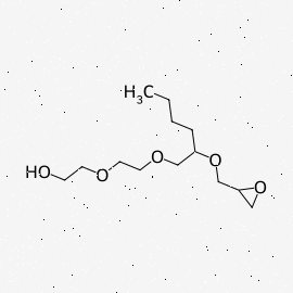 CCCCC(COCCOCCO)OCC1CO1